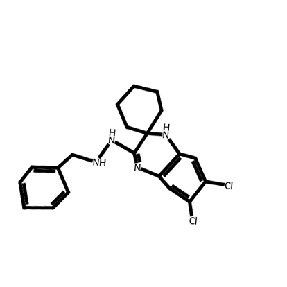 Clc1cc2c(cc1Cl)NC1(CCCCC1)C(NNCc1ccccc1)=N2